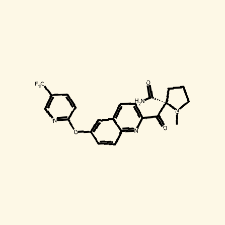 CN1CCC[C@]1(C(N)=O)C(=O)c1ccc2cc(Oc3ccc(C(F)(F)F)cn3)ccc2n1